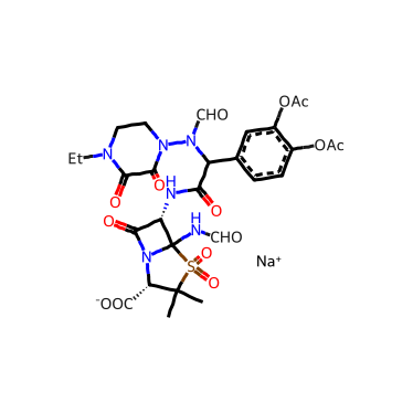 CCN1CCN(N(C=O)C(C(=O)N[C@H]2C(=O)N3[C@@H](C(=O)[O-])C(C)(C)S(=O)(=O)C23NC=O)c2ccc(OC(C)=O)c(OC(C)=O)c2)C(=O)C1=O.[Na+]